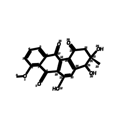 COc1cccc2c1C(=O)c1c(O)cc3c(c1C2=O)C(=O)C[C@](C)(O)C3O